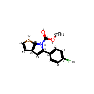 CC(C)(C)OC(=O)n1c(-c2ccc(F)cc2)cc2ccsc21